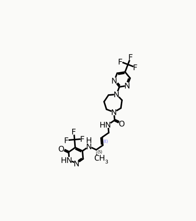 C[C@@H](/C=C/CNC(=O)N1CCCN(c2ncc(C(F)(F)F)cn2)CC1)Nc1cn[nH]c(=O)c1C(F)(F)F